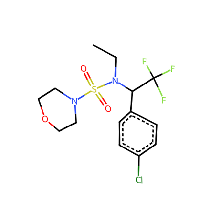 CCN(C(c1ccc(Cl)cc1)C(F)(F)F)S(=O)(=O)N1CCOCC1